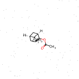 CC(=O)OC1=CC[C@H]2C[C@@H]1C2(C)C